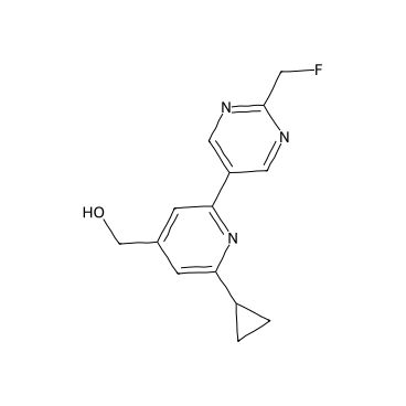 OCc1cc(-c2cnc(CF)nc2)nc(C2CC2)c1